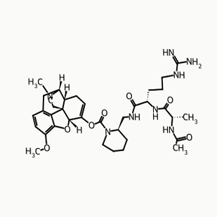 COc1ccc2c3c1O[C@H]1C(OC(=O)N4CCCC[C@@H]4CNC(=O)[C@H](CCCNC(=N)N)NC(=O)[C@H](C)NC(C)=O)=CC[C@H]4[C@@H](C2)N(C)CC[C@]314